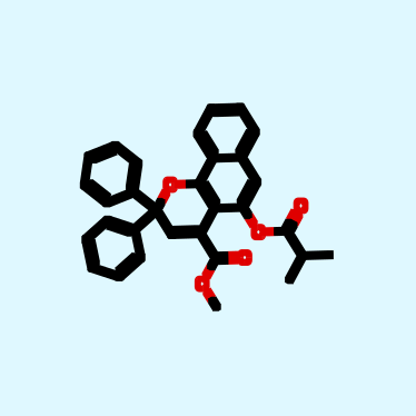 COC(=O)C1=CC(c2ccccc2)(c2ccccc2)Oc2c1c(OC(=O)C(C)C)cc1ccccc21